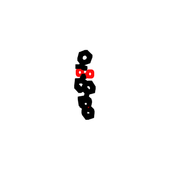 CC(C)(OC(=O)c1cccc2c(C3CC4CC3C3C5C=CC(C5)C43)cccc12)C1CCCCC1